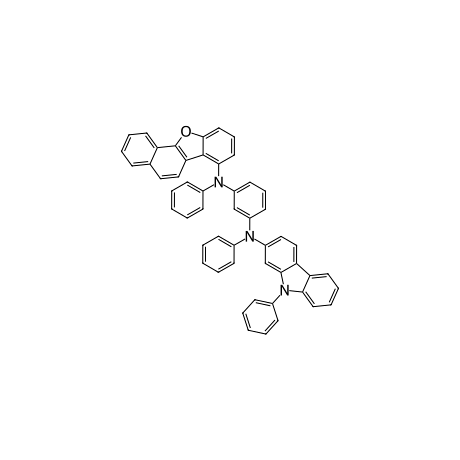 c1ccc(N(c2cccc(N(c3ccccc3)c3cccc4oc5c6ccccc6ccc5c34)c2)c2ccc3c4ccccc4n(-c4ccccc4)c3c2)cc1